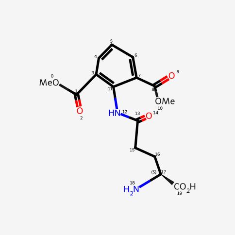 COC(=O)c1cccc(C(=O)OC)c1NC(=O)CC[C@H](N)C(=O)O